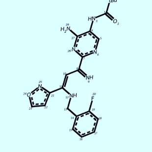 CC(C)(C)C(=O)Nc1cnc(C(=N)/C=C(\NCc2ccccc2F)c2ccon2)nc1N